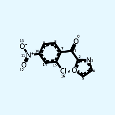 O=C(c1ncco1)c1ccc([N+](=O)[O-])cc1Cl